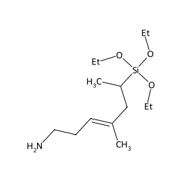 CCO[Si](OCC)(OCC)C(C)CC(C)=CCCN